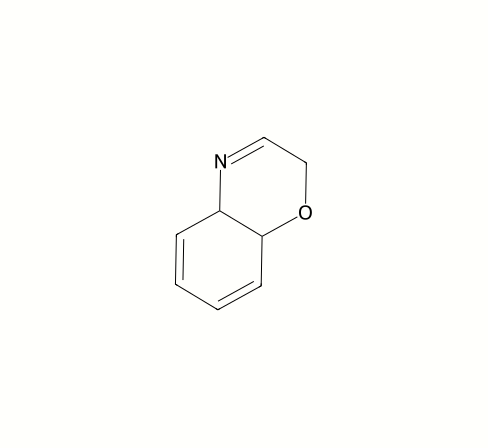 C1=CC2N=CCOC2C=C1